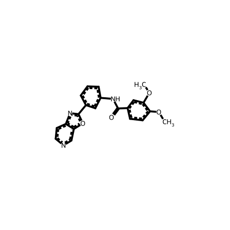 COc1ccc(C(=O)Nc2cccc(-c3nc4ccncc4o3)c2)cc1OC